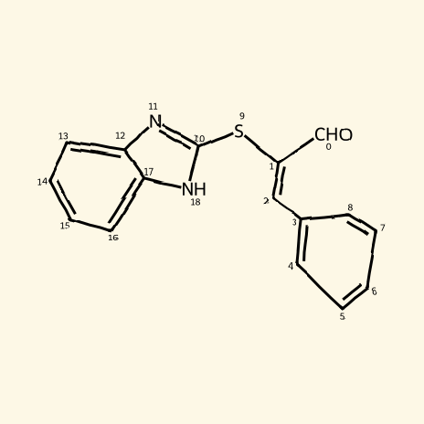 O=CC(=Cc1ccccc1)Sc1nc2ccccc2[nH]1